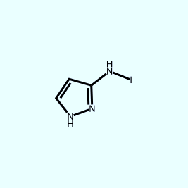 INc1cc[nH]n1